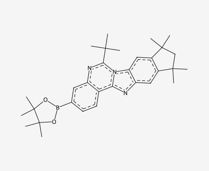 CC(C)(C)c1nc2cc(B3OC(C)(C)C(C)(C)O3)ccc2c2nc3cc4c(cc3n12)C(C)(C)CC4(C)C